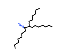 CCCCCCCC(=[N+]=[N-])C(CCCCCC)CCCCCCC